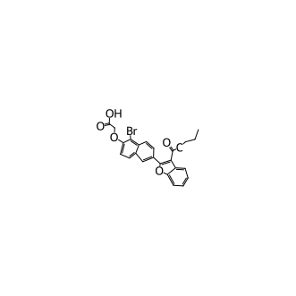 CCCCC(=O)c1c(-c2ccc3c(Br)c(OCC(=O)O)ccc3c2)oc2ccccc12